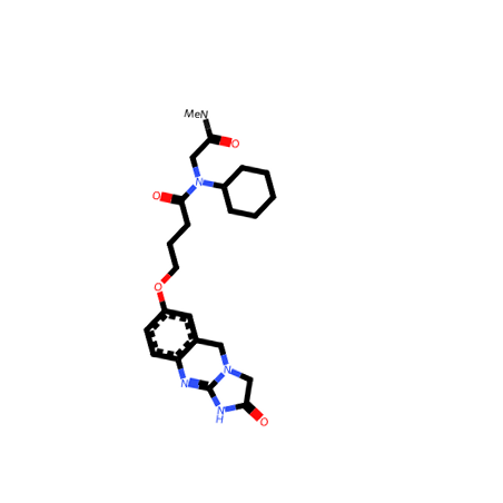 CNC(=O)CN(C(=O)CCCOc1ccc2c(c1)CN1CC(=O)NC1=N2)C1CCCCC1